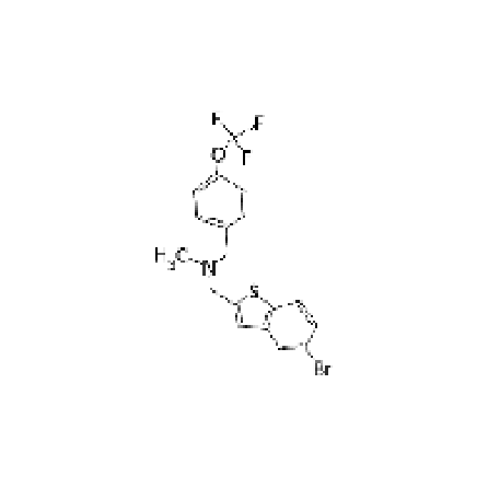 CN(Cc1ccc(OC(F)(F)F)cc1)Cc1cc2cc(Br)ccc2s1